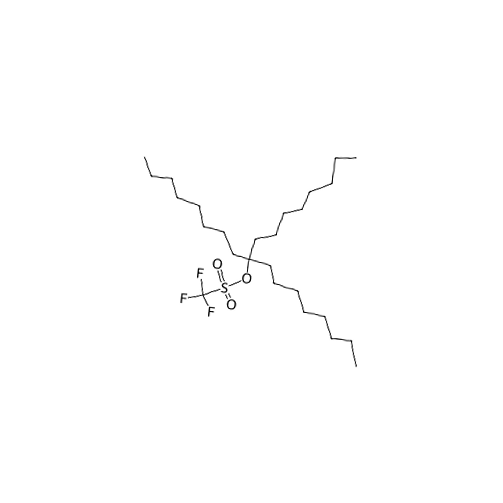 CCCCCCCCC(CCCCCCCC)(CCCCCCCC)OS(=O)(=O)C(F)(F)F